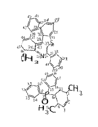 CC1C=CC(C)C(P(=O)(c2ccccc2)c2ccc(-c3cccc(-c4nc5c(c6c4sc4ccccc46)C(c4ccccc4)=CCC5C)c3)cc2)C1